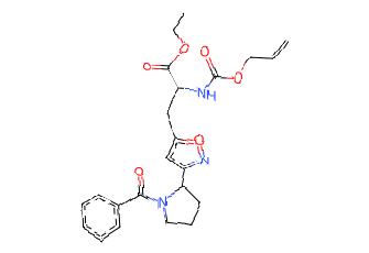 C=CCOC(=O)NC(Cc1cc(C2CCCN2C(=O)c2ccccc2)no1)C(=O)OCC